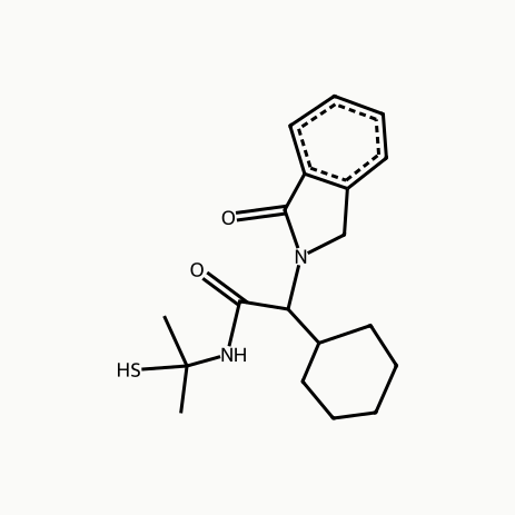 CC(C)(S)NC(=O)C(C1CCCCC1)N1Cc2ccccc2C1=O